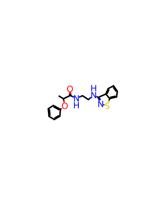 CC(Oc1ccccc1)C(=O)NCCNc1nsc2ccccc12